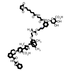 Cc1c(-c2ccc(N3CCc4cccc(C(=O)Nc5nc6ccccc6s5)c4C3)nc2C(=O)O)cnn1CC12CC3(C)CC(C)(C1)CC(OCCN(C)C(=O)OC/C=C/c1ccc(O[C@H]4C[C@@H](O)[C@H](O)[C@@H](C(=O)O)O4)c(NC(=O)CCNC(=O)CCCCCN4C(=O)C=CC4=O)c1)(C3)C2